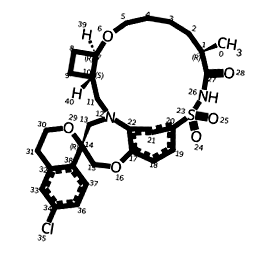 C[C@@H]1CCCCO[C@@H]2CC[C@H]2CN2C[C@]3(COc4ccc(cc42)S(=O)(=O)NC1=O)OCCc1cc(Cl)ccc13